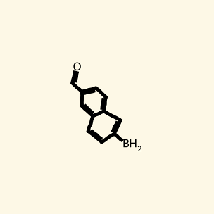 Bc1ccc2cc(C=O)ccc2c1